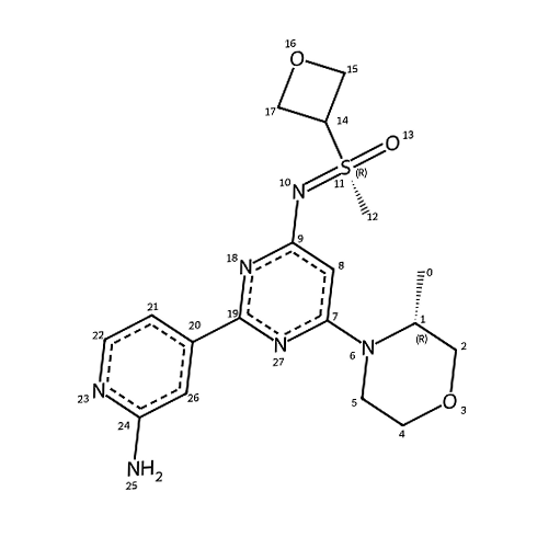 C[C@@H]1COCCN1c1cc(N=[S@](C)(=O)C2COC2)nc(-c2ccnc(N)c2)n1